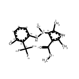 COC(=O)c1c(C)[nH]c(C)c1[S+]([O-])Nc1cccc(Cl)c1C(F)(F)F